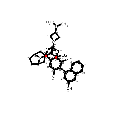 CN(C)C1CN(c2nc(N3C4CCC3CN(C(=O)OC(C)(C)C)C4)c3cc(Cl)c(-c4cc(O)cc5ccccc45)c(F)c3n2)C1